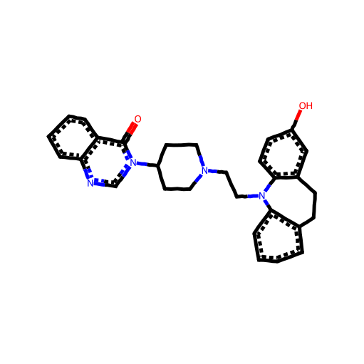 O=c1c2ccccc2ncn1C1CCN(CCN2c3ccccc3CCc3cc(O)ccc32)CC1